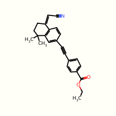 CCOC(=O)c1ccc(C#Cc2ccc3c(c2)C(C)(C)CC/C3=C/C#N)cc1